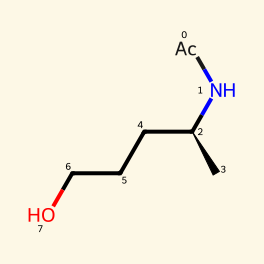 CC(=O)N[C@@H](C)CCCO